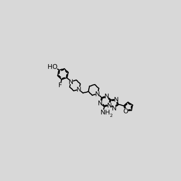 Nc1nc(N2CCCC(CN3CCN(c4ccc(O)cc4F)CC3)C2)nc2nc(-c3ccco3)nn12